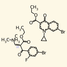 CCOC(=O)/C(=C\N(C)C)C(=O)c1ccc(Br)cc1F.CCOC(=O)c1cn(C2CC2)c2cc(Br)ccc2c1=O